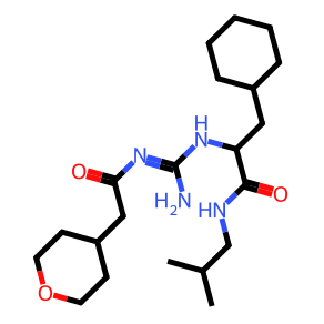 CC(C)CNC(=O)C(CC1CCCCC1)NC(N)=NC(=O)CC1CCOCC1